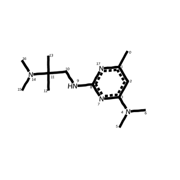 Cc1cc(N(C)C)nc(NCC(C)(C)N(C)C)n1